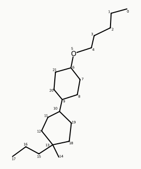 CCCCCOC1CCC(C2CCC(C)(CCC)CC2)CC1